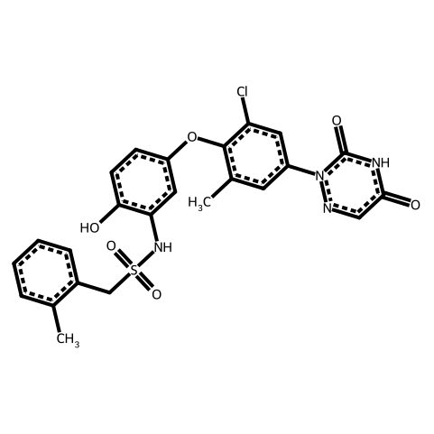 Cc1ccccc1CS(=O)(=O)Nc1cc(Oc2c(C)cc(-n3ncc(=O)[nH]c3=O)cc2Cl)ccc1O